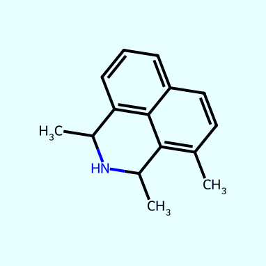 Cc1ccc2cccc3c2c1C(C)NC3C